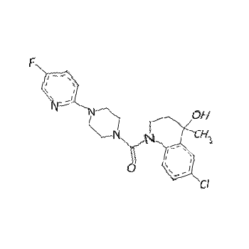 CC1(O)CCN(C(=O)N2CCN(c3ccc(F)cn3)CC2)c2ccc(Cl)cc21